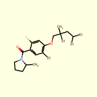 CCc1cc(C(=O)N2CCCC2C)c(F)cc1OCC(C)(CC)CC(CC)CC